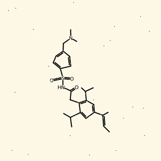 CC=C(C)c1cc(C(C)C)c(CC(=O)NS(=O)(=O)c2ccc(CN(C)C)cc2)c(C(C)C)c1